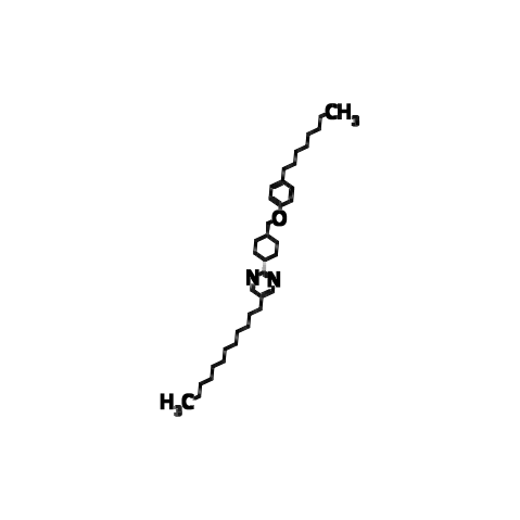 CCCCCCCCCCCCc1cnc([C@H]2CC[C@H](COc3ccc(CCCCCCCC)cc3)CC2)nc1